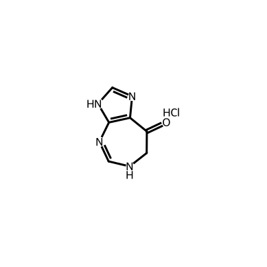 Cl.O=C1CNC=Nc2[nH]cnc21